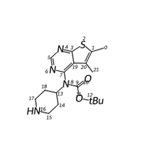 Cc1sc2ncnc(N(C(=O)OC(C)(C)C)C3CCNCC3)c2c1C